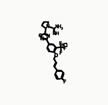 Cl.N=C(N)N1CCCC1c1nc(-c2ccc(OCC=Cc3ccc(F)cc3)c(C(F)(F)F)c2)no1